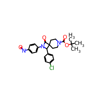 CC(C)(C)OC(=O)N1CCC2(CC1)C(=O)N(c1ccc(N=O)cc1)C2c1ccc(Cl)cc1